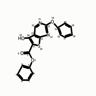 O=C(Oc1ccccc1)c1sc2nc(Oc3ccccc3)ncc2c1O